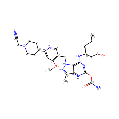 CCC[C@@H](CCO)Nc1nc(OC(N)=O)nc2c(C)nn(Cc3cnc(C4CCN(CC#N)CC4)cc3OC)c12